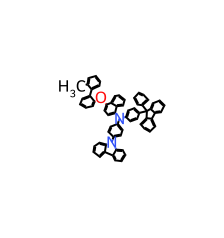 Cc1ccccc1-c1ccccc1Oc1ccc(N(c2ccc(-n3c4ccccc4c4ccccc43)cc2)c2ccc(C3(c4ccccc4)c4ccccc4-c4ccccc43)cc2)c2ccccc12